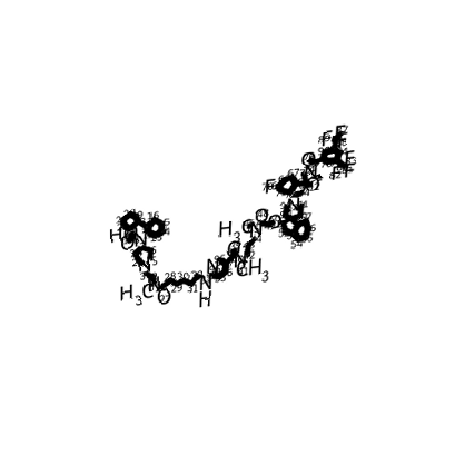 CN(CCN1CCC(N(C(=O)O)c2ccccc2-c2ccccc2)CC1)C(=O)CCCCCNc1ccc(C(=O)N(C)CCCN(C)C(=O)CO[C@H]2Cc3ccccc3C23CCN(CC[C@@]2(c4ccc(F)cc4)CN(C(=O)c4cc(C(F)(F)F)cc(C(F)(F)F)c4)CO2)CC3)cn1